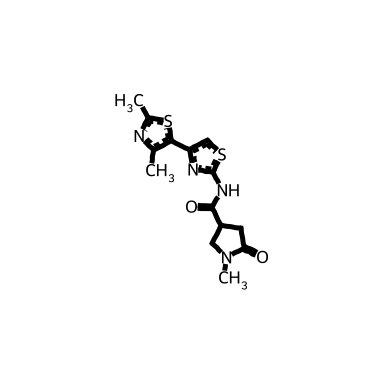 Cc1nc(C)c(-c2csc(NC(=O)C3CC(=O)N(C)C3)n2)s1